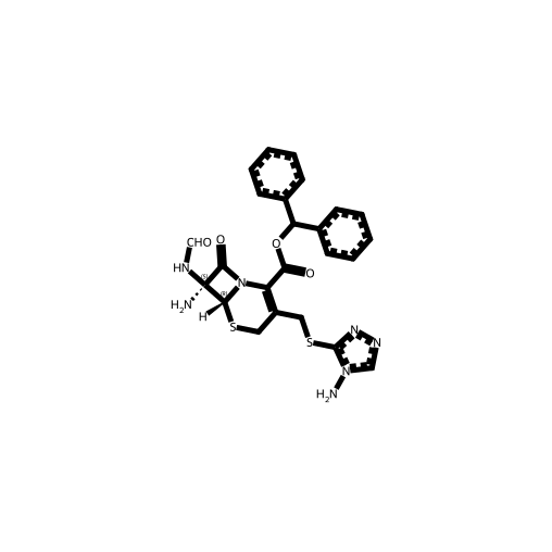 Nn1cnnc1SCC1=C(C(=O)OC(c2ccccc2)c2ccccc2)N2C(=O)[C@](N)(NC=O)[C@H]2SC1